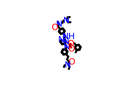 CCN(CC)CCN(C)C(=O)c1ccc(Nc2nccc(N(C(=O)Oc3c(C)cccc3C)c3cccc(CCC(=O)N(CC)CC)c3)n2)cc1